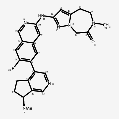 CN[C@H]1CCc2c(-c3cc4cc(Nc5cc6n(n5)CC(=O)N(C)CC6)ncc4cc3F)cncc21